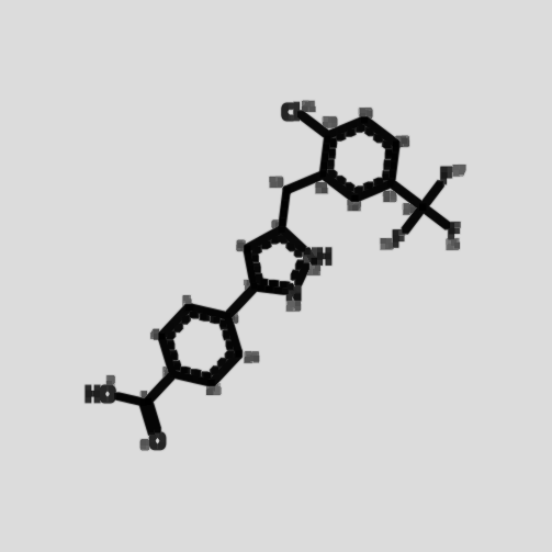 O=C(O)c1ccc(-c2cc(Cc3cc(C(F)(F)F)ccc3Cl)[nH]n2)cc1